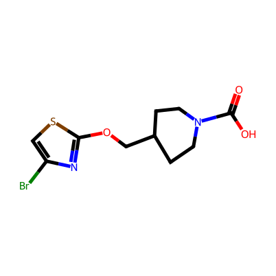 O=C(O)N1CCC(COc2nc(Br)cs2)CC1